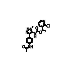 CC(=O)Nc1ccc(-c2nnn(C)c2NC(=O)O[C@H](C)c2cccnc2Cl)cc1